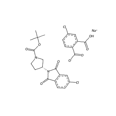 CC(C)(C)OC(=O)N1CC[C@@H](N2C(=O)c3ccc(Cl)cc3C2=O)C1.O=C([O-])c1ccc(Cl)cc1C(=O)O.[Na+]